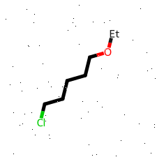 [CH2]COCCCCCCl